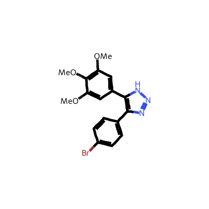 COc1cc(-c2[nH]nnc2-c2ccc(Br)cc2)cc(OC)c1OC